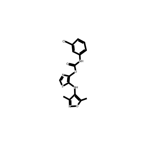 Cc1noc(C)c1Nc1scnc1OC(=O)Nc1cccc(Cl)c1